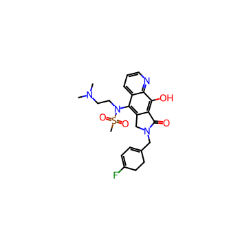 CN(C)CCN(c1c2c(c(O)c3ncccc13)C(=O)N(CC1=CC=C(F)CC1)C2)S(C)(=O)=O